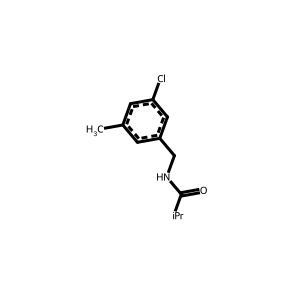 Cc1cc(Cl)cc(CNC(=O)C(C)C)c1